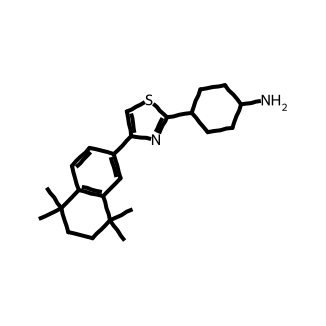 CC1(C)CCC(C)(C)c2cc(-c3csc(C4CCC(N)CC4)n3)ccc21